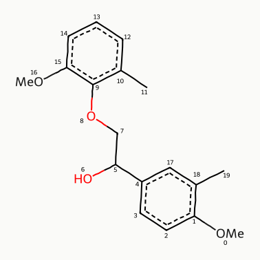 COc1ccc(C(O)COc2c(C)cccc2OC)cc1C